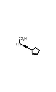 O=C(O)NC#CC1C=CCC1